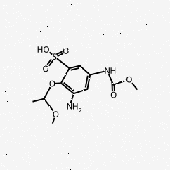 COC(=O)Nc1cc(N)c(OC(C)OC)c(S(=O)(=O)O)c1